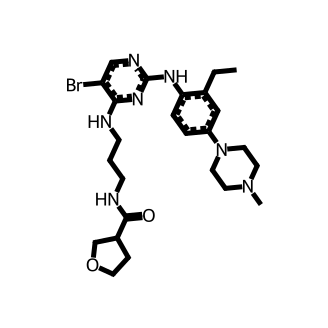 CCc1cc(N2CCN(C)CC2)ccc1Nc1ncc(Br)c(NCCCNC(=O)C2CCOC2)n1